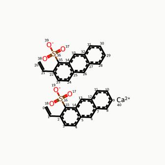 C=Cc1ccc2cc3ccccc3cc2c1S(=O)(=O)[O-].C=Cc1ccc2cc3ccccc3cc2c1S(=O)(=O)[O-].[Ca+2]